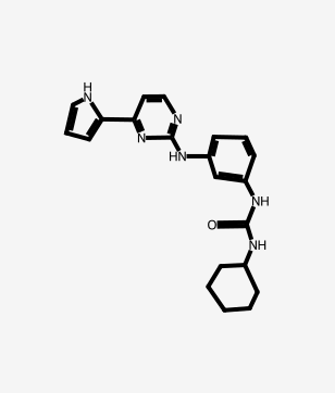 O=C(Nc1cccc(Nc2nccc(-c3ccc[nH]3)n2)c1)NC1CCCCC1